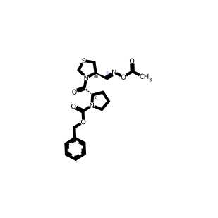 CC(=O)O/N=C/[C@@H]1CSCN1C(=O)[C@@H]1CCCN1C(=O)OCc1ccccc1